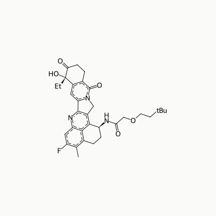 CC[C@@]1(O)C(=O)CCc2c1cc1n(c2=O)Cc2c-1nc1cc(F)c(C)c3c1c2[C@@H](NC(=O)COCCC(C)(C)C)CC3